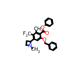 Cc1c(C(=O)Oc2ccccc2)c(OCc2ccccc2)cc(C2CCN2C)c1C(F)(F)F